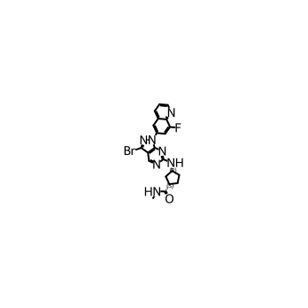 CNC(=O)[C@H]1CC[C@@H](Nc2ncc3c(Br)nn(-c4cc(F)c5ncccc5c4)c3n2)C1